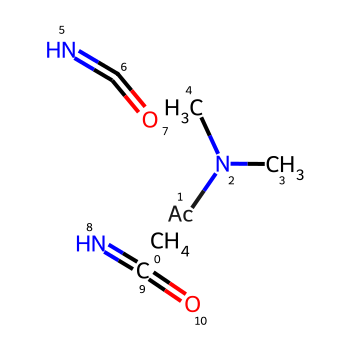 C.CC(=O)N(C)C.N=C=O.N=C=O